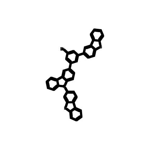 Brc1cc(-c2ccc3sc4ccccc4c3c2)cc(-c2ccc3c(c2)c2ccccc2n3-c2ccc3c(c2)sc2ccccc23)c1